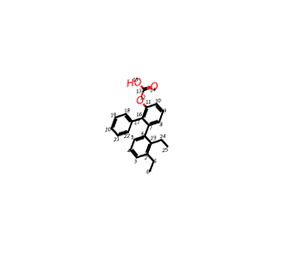 CCc1cccc(-c2cccc(OC(=O)O)c2-c2ccccc2)c1CC